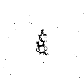 CC1COC2CN(CN(C)C)CC2O1